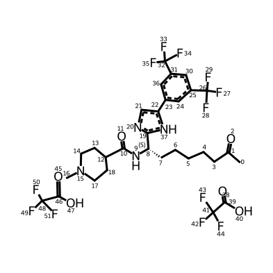 CC(=O)CCCCC[C@H](NC(=O)C1CCN(C)CC1)c1ncc(-c2cc(C(F)(F)F)cc(C(F)(F)F)c2)[nH]1.O=C(O)C(F)(F)F.O=C(O)C(F)(F)F